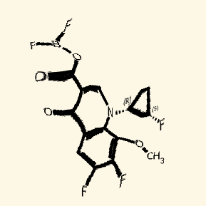 COc1c(F)c(F)cc2c(=O)c(C(=O)OB(F)F)cn([C@@H]3C[C@@H]3F)c12